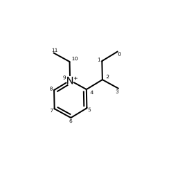 CCC(C)c1cccc[n+]1CC